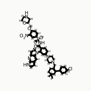 CC1(C)CCC(CN2CCN(c3ccc(C(=O)NS(=O)(=O)c4ccc(OC[C@H]5CNCCO5)c([N+](=O)[O-])c4)c(-n4ncc5nc6[nH]ccc6cc54)c3)CC2)=C(c2ccc(Cl)cc2)C1